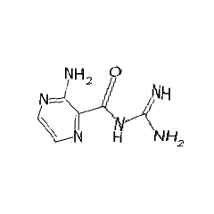 N=C(N)NC(=O)c1nccnc1N